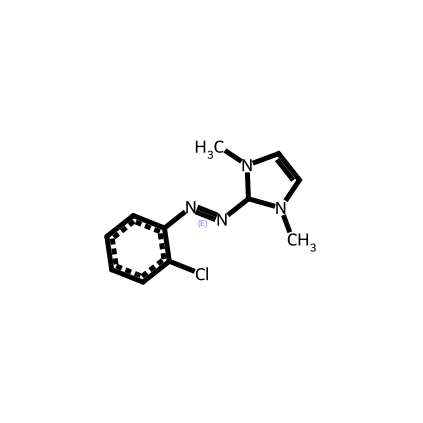 CN1C=CN(C)C1/N=N/c1ccccc1Cl